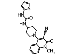 Cn1c(=O)c(C#N)c(N2CCC(NC(=O)Nc3cccs3)CC2)c2ccccc21